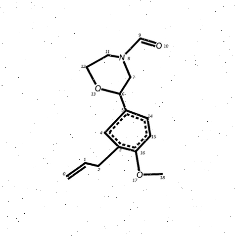 C=CCc1cc(C2CN(C=O)CCO2)ccc1OC